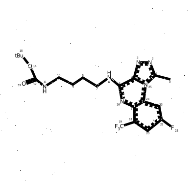 Cc1nnc2c(NCCCCNC(=O)OC(C)(C)C)nc3c(C(F)(F)F)cc(F)cc3n12